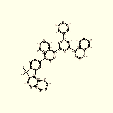 CC1(C)c2ccc(-c3ccc(-c4cc(-c5cccc6ccccc56)nc(-c5ccccc5)n4)c4ccccc34)cc2-c2c1ccc1ccccc21